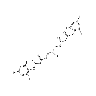 O=C(COC(=O)CC(=O)Oc1c(I)cc(I)cc1I)COC(=O)CC(=O)Oc1c(I)cc(I)cc1I